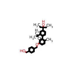 CCC(O)(CC)c1ccc(-c2cc(OCc3c[c]c(CO)cc3)ccc2C)c(C(C)(C)C)c1